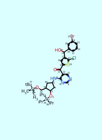 CC(C)[Si](OC1CC(Nc2ncncc2C(=O)c2cc(C(O)c3cccc(Br)c3)c(Cl)s2)CC1CO[Si](C)(C)C(C)(C)C)(C(C)C)C(C)C